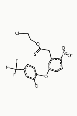 O=[N+]([O-])c1ccc(Oc2ccc(C(F)(F)F)cc2Cl)cc1CC(=S)OCCCl